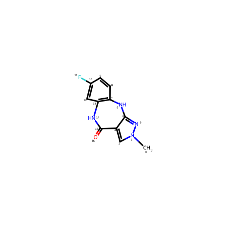 Cn1cc2c(n1)Nc1ccc(F)cc1NC2=O